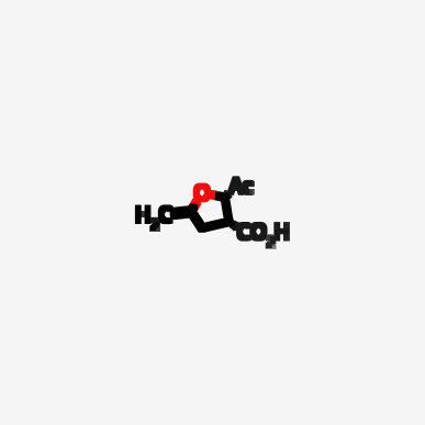 C=C1C[C@H](C(=O)O)[C@H](C(C)=O)O1